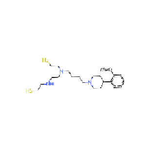 COc1ccccc1C1CCN(CCCCN(CCS)CCNCCS)CC1